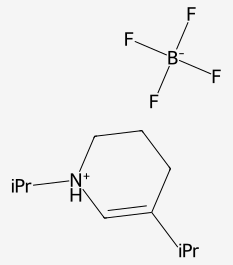 CC(C)C1=C[NH+](C(C)C)CCC1.F[B-](F)(F)F